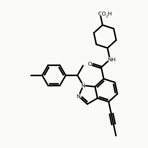 CC#Cc1ccc(C(=O)NC2CCC(C(=O)O)CC2)c2c1cnn2C(C)c1ccc(C)cc1